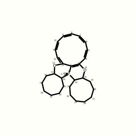 S=P12C3=C(\C=C/C=C\C=C/C=C\C=C3\OC3CCCCCCC31)OC1CCCCCCCC12